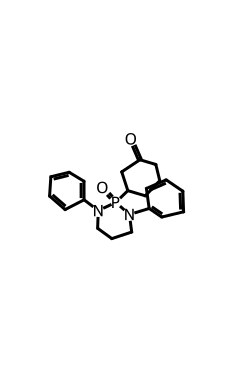 O=C1CCCC(P2(=O)N(c3ccccc3)CCCN2c2ccccc2)C1